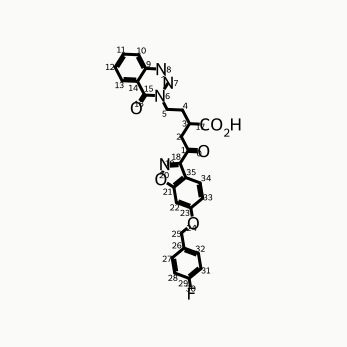 O=C(CC(CCn1nnc2ccccc2c1=O)C(=O)O)c1noc2cc(OCc3ccc(F)cc3)ccc12